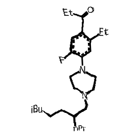 CCCC(CC[C@H](C)CC)CN1CCN(c2cc(CC)c(C(=O)CC)cc2F)CC1